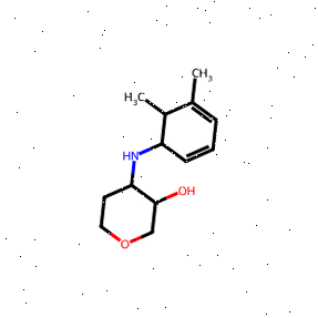 CC1=CC=CC(NC2CCOCC2O)C1C